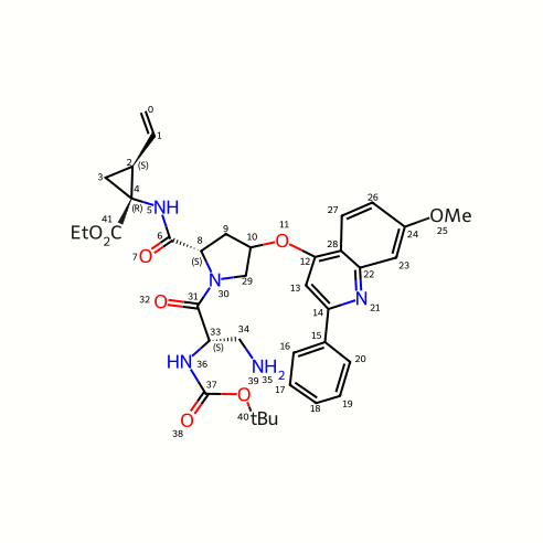 C=C[C@@H]1C[C@]1(NC(=O)[C@@H]1CC(Oc2cc(-c3ccccc3)nc3cc(OC)ccc23)CN1C(=O)[C@H](CN)NC(=O)OC(C)(C)C)C(=O)OCC